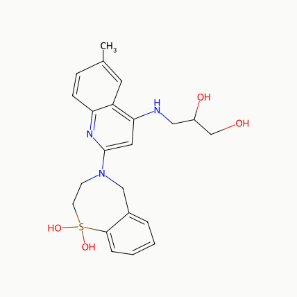 Cc1ccc2nc(N3CCS(O)(O)c4ccccc4C3)cc(NCC(O)CO)c2c1